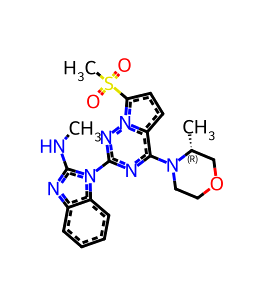 CNc1nc2ccccc2n1-c1nc(N2CCOC[C@H]2C)c2ccc(S(C)(=O)=O)n2n1